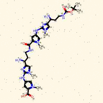 Cn1cc(Nc2nc(C(N)CCNC(=O)c3cc(Nc4nc(C(N)CCNC(=O)OC(C)(C)C)cn4C)cn3C)cn2C)cc1C(=O)O